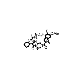 COc1cc2c(cc1F)cc(C(=O)N1CCN(C(=O)[C@@H](NC(=O)[C@H](C)N(C)C(=O)O)C3CCCCC3)[C@H](C)C1)n2C